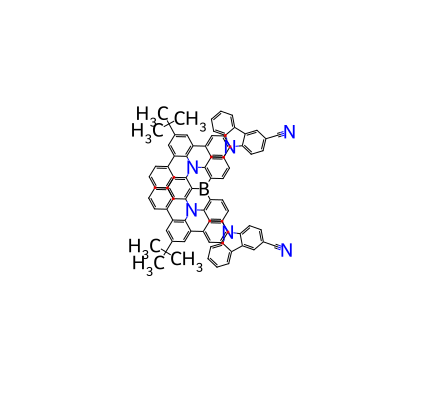 CC(C)(C)c1cc(-c2ccccc2)c(N2c3cc(-n4c5ccccc5c5cc(C#N)ccc54)ccc3B3c4ccc(-n5c6ccccc6c6cc(C#N)ccc65)cc4N(c4c(-c5ccccc5)cc(C(C)(C)C)cc4-c4ccccc4)c4cccc2c43)c(-c2ccccc2)c1